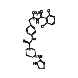 O=C(N[C@@H](Cc1ccc(NC(=O)[C@@H]2CCC[C@@H](NC3=NCCN3)C2)cc1)C(=O)O)c1c(Cl)cccc1Cl